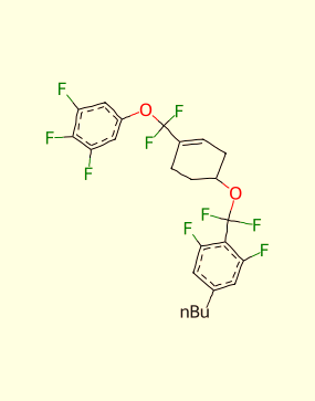 CCCCc1cc(F)c(C(F)(F)OC2CC=C(C(F)(F)Oc3cc(F)c(F)c(F)c3)CC2)c(F)c1